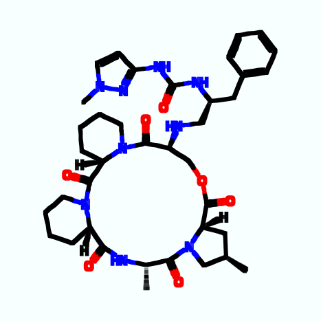 C[C@@H]1C[C@H]2C(=O)OC[C@H](NC[C@H](Cc3ccccc3)NC(=O)Nc3ccn(C)n3)C(=O)N3CCCC[C@H]3C(=O)N3CCCC[C@H]3C(=O)N[C@@H](C)C(=O)N2C1